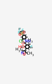 Cc1noc(C)c1-c1cc(F)c(C)c(C(=O)Nc2ccc(S(=O)(=O)C(F)(F)F)cc2Cl)c1O